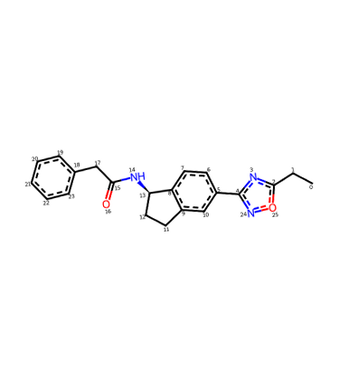 CCc1nc(-c2ccc3c(c2)CC[C@H]3NC(=O)Cc2ccccc2)no1